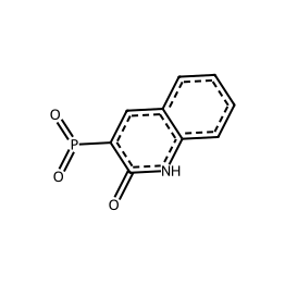 O=c1[nH]c2ccccc2cc1P(=O)=O